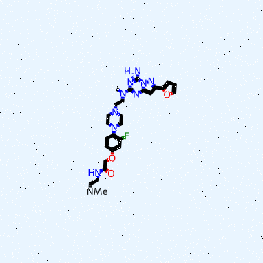 CNCCNC(=O)COc1ccc(N2CCN(CCN(C)c3nc(N)n4nc(-c5ccco5)cc4n3)CC2)c(F)c1